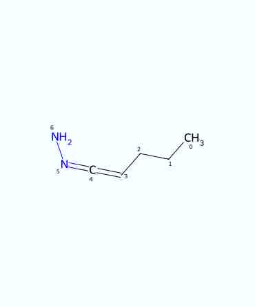 CCCC=C=NN